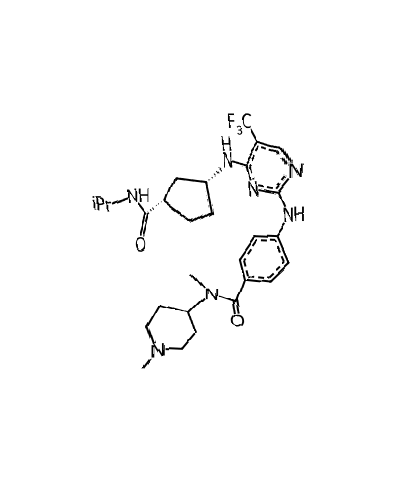 CC(C)NC(=O)[C@H]1CC[C@@H](Nc2nc(Nc3ccc(C(=O)N(C)C4CCN(C)CC4)cc3)ncc2C(F)(F)F)C1